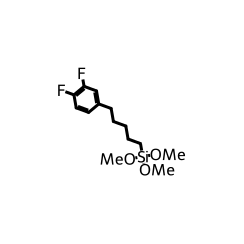 CO[Si](CCCCCc1ccc(F)c(F)c1)(OC)OC